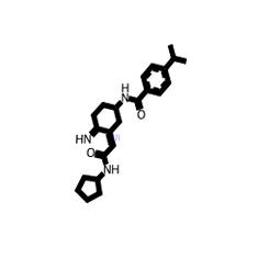 CC(C)c1ccc(C(=O)NC2CCC(=N)/C(=C\C(=O)NC3CCCC3)C2)cc1